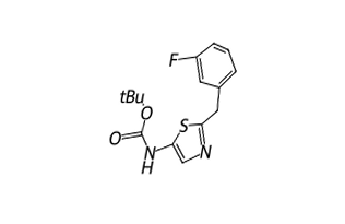 CC(C)(C)OC(=O)Nc1cnc(Cc2cccc(F)c2)s1